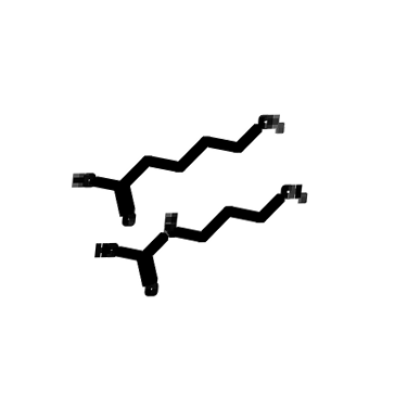 CCCCCC(=O)O.CCCCNC(=O)O